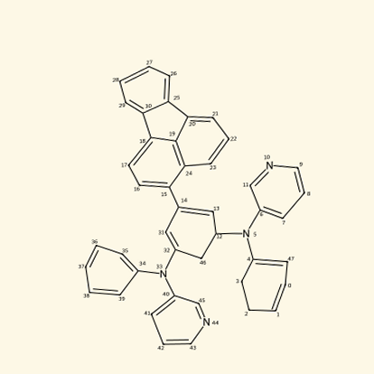 C1=CCCC(N(c2cccnc2)C2C=C(c3ccc4c5c(cccc35)-c3ccccc3-4)C=C(N(c3ccccc3)c3cccnc3)C2)=C1